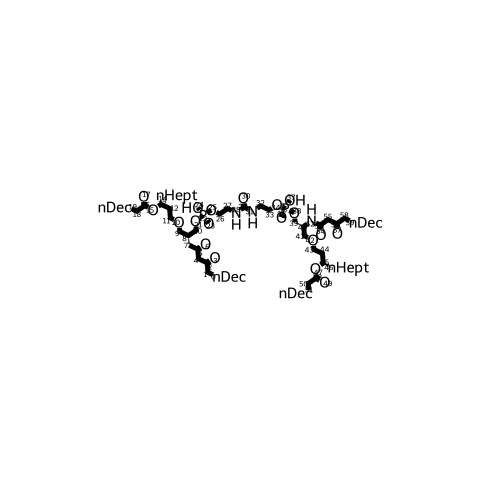 CCCCCCCCCCCC(=O)CC(=O)C[C@H](COCC[C@@H](CCCCCCC)OC(=O)CCCCCCCCCCC)COP(=O)(O)OCCNC(=O)NCCOP(=O)(O)OC[C@@H](COCC[C@@H](CCCCCCC)OC(=O)CCCCCCCCCCC)NC(=O)CC(=O)CCCCCCCCCCC